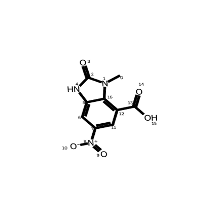 Cn1c(=O)[nH]c2cc([N+](=O)[O-])cc(C(=O)O)c21